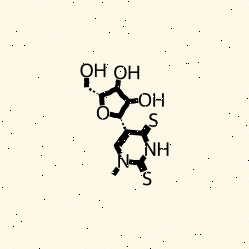 Cn1cc([C@@H]2O[C@H](CO)C(O)C2O)c(=S)[nH]c1=S